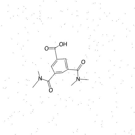 CN(C)C(=O)c1cc(C(=O)O)cc(C(=O)N(C)C)c1